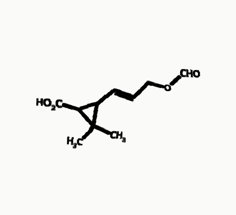 CC1(C)C(C=CCOC=O)C1C(=O)O